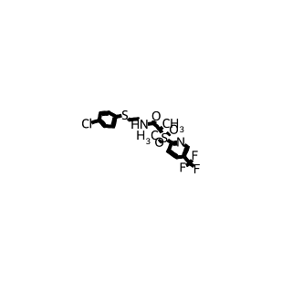 CC(C)(C(=O)NCCSc1ccc(Cl)cc1)S(=O)(=O)c1ccc(C(F)(F)F)cn1